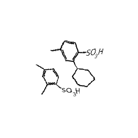 Cc1ccc(S(=O)(=O)O)c(C)c1.Cc1ccc(S(=O)(=O)O)c(C2CCCCC2)c1